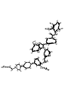 COc1cc(N2CCC(N3CCN(CCF)CC3)CC2)ccc1Nc1nccc(-c2c(-c3cccc(C(=O)Nc4c(F)cccc4F)c3)nc3c(F)cccn23)n1